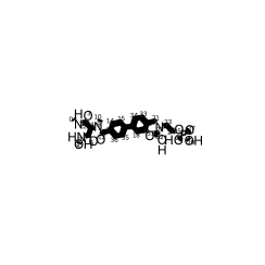 CNC(=O)C(C(=O)NO)N(C)C(=O)c1ccc(-c2ccc(CN(CCOP(=O)(O)O)C(=O)O)cc2)cc1